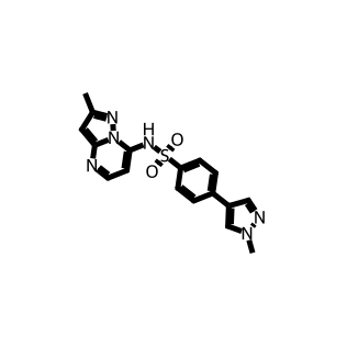 Cc1cc2nccc(NS(=O)(=O)c3ccc(-c4cnn(C)c4)cc3)n2n1